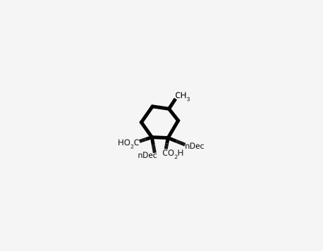 CCCCCCCCCCC1(C(=O)O)CCC(C)CC1(CCCCCCCCCC)C(=O)O